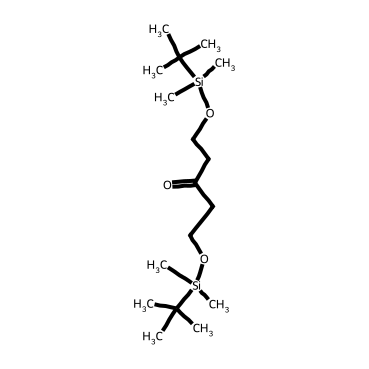 CC(C)(C)[Si](C)(C)OCCC(=O)CCO[Si](C)(C)C(C)(C)C